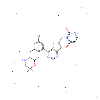 Cc1cc(Cl)cc(-c2ncnc3cc(Cn4c(=O)cc[nH]c4=O)sc23)c1CC1CNCC(C)(C)O1